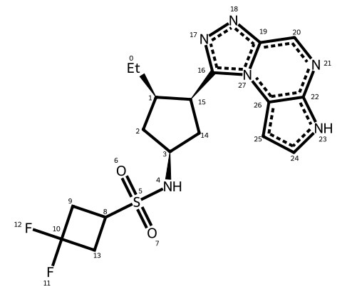 CC[C@@H]1C[C@H](NS(=O)(=O)C2CC(F)(F)C2)C[C@@H]1c1nnc2cnc3[nH]ccc3n12